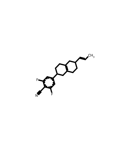 C/C=C/C1CCC2=C(CCC(c3cc(F)c(C#N)c(F)c3)C2)C1